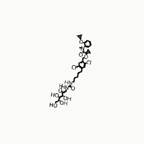 CN(C(=O)C1(OCc2cc(Cl)c(CCCCCNC(=O)NC[C@H](O)[C@@H](O)[C@H](O)[C@H](O)CO)cc2Cl)CC1)c1ccccc1OC1CC1